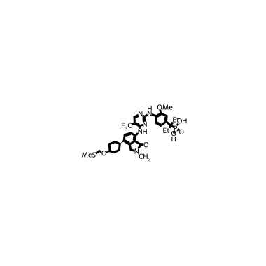 CCC(CC)(c1ccc(Nc2ncc(C(F)(F)F)c(Nc3ccc([C@H]4CC[C@H](OCSC)CC4)c4c3C(=O)N(C)C4)n2)c(OC)c1)P(=O)(O)O